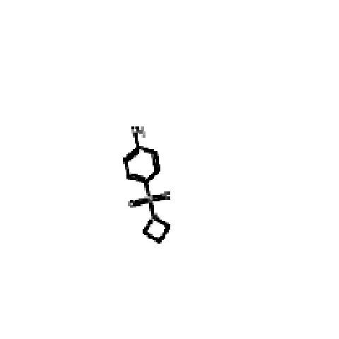 Cc1ccc(S(=O)(=O)N2CCC2)cc1